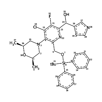 C[C@@H]1CN(c2c(CO[Si](c3ccccc3)(c3ccccc3)C(C)(C)C)nc(C(O)c3cncs3)c(F)c2Cl)C[C@H](C)O1